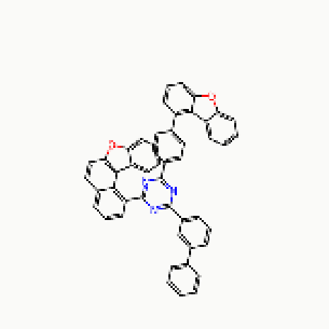 c1ccc(-c2cccc(-c3nc(-c4ccc(-c5cccc6oc7ccccc7c56)cc4)nc(-c4cccc5ccc6oc7ccccc7c6c45)n3)c2)cc1